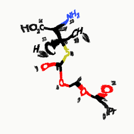 CC(C)C(=O)OCOC(=O)SC(C)(C)C(N)C(=O)O